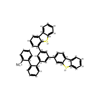 N#Cc1ccccc1-c1ccccc1-c1cc(-c2ccc3c(c2)sc2ccccc23)cc(-c2cccc3c2sc2ccccc23)c1